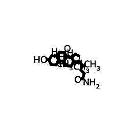 C[C@H](CCC(N)=O)[C@H]1CC[C@H]2[C@@H]3C(=O)C[C@@H]4C[C@H](O)CC[C@]4(C)[C@H]3CC[C@]12C